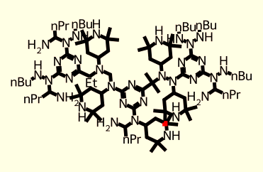 CCCCNN(NCCCC)c1nc(N(NCCCC)C(N)CCC)nc(N(C2CC(C)(C)NC(C)(C)C2)N(C2CC(C)(C)NC(C)(C)C2)C(C)(C)c2nc(N(CN(C3CC(C)(C)NC(C)(C)C3)C(CC)c3nc(N(NCCCC)C(N)CCC)nc(N(NCCCC)C(N)CCC)n3)C3CC(C)(C)NC(C)(C)C3)nc(N(C(N)CCC)C3CC(C)(C)NC(C)(C)C3)n2)n1